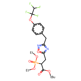 CCOP(=O)(OCC)C(Cc1nc(Cc2ccc(OC(F)(F)C(F)F)cc2)no1)C(=O)OC(C)(C)C